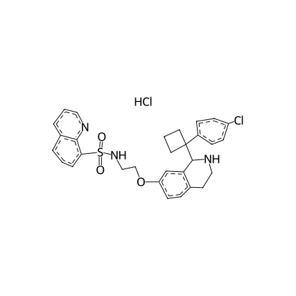 Cl.O=S(=O)(NCCOc1ccc2c(c1)C(C1(c3ccc(Cl)cc3)CCC1)NCC2)c1cccc2cccnc12